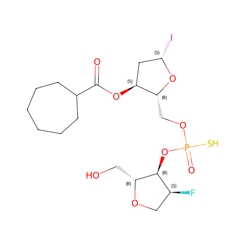 O=C(O[C@H]1C[C@H](I)O[C@@H]1COP(=O)(S)O[C@H]1[C@@H](F)CO[C@@H]1CO)C1CCCCCC1